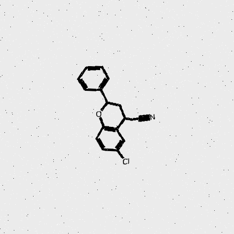 N#CC1CC(c2ccccc2)Oc2ccc(Cl)cc21